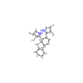 Cc1c[nH]c(-c2ccc3c(c2-c2[nH]cc(C)c2C)[CH]c2ccccc2-3)c1C